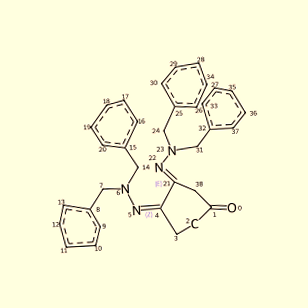 O=C1CCC(=N/N(Cc2ccccc2)Cc2ccccc2)/C(=N/N(Cc2ccccc2)Cc2ccccc2)C1